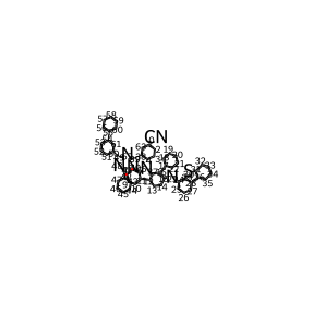 N#Cc1ccc(-n2c3ccccc3c3ccc4c(c5ccccc5n4-c4cccc5c4sc4ccccc45)c32)c(-c2nc(-c3ccccc3)nc(-c3cccc(-c4ccccc4)c3)n2)c1